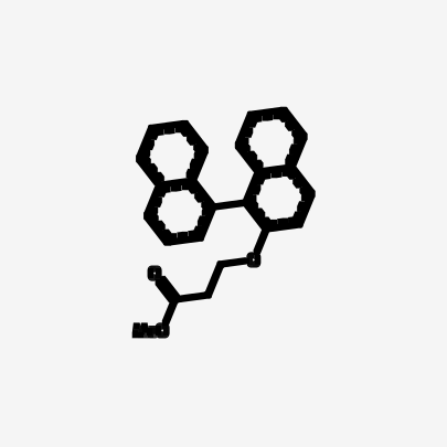 COC(=O)CCOc1ccc2ccccc2c1-c1cccc2ccccc12